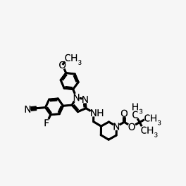 COc1ccc(-n2nc(NCC3CCCN(C(=O)OC(C)(C)C)C3)cc2-c2ccc(C#N)c(F)c2)cc1